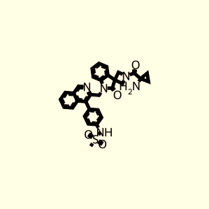 CS(=O)(=O)Nc1ccc(-c2c(CN3C(=O)C4(CN(C(=O)C5(N)CC5)C4)c4ccccc43)ncc3ccccc23)cc1